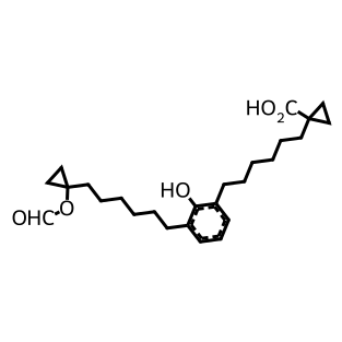 O=COC1(CCCCCCc2cccc(CCCCCCC3(C(=O)O)CC3)c2O)CC1